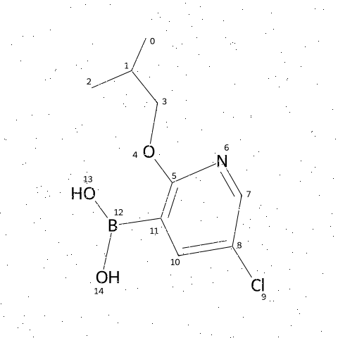 CC(C)COc1ncc(Cl)cc1B(O)O